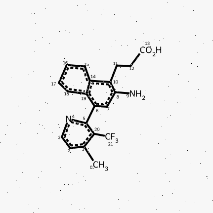 Cc1ccnc(-c2cc(N)c(CCC(=O)O)c3ccccc23)c1C(F)(F)F